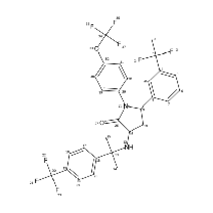 CC(F)(F)c1cccc(C2CC(NC(C)(C)c3ccc(C(F)(F)F)nc3)C(=O)N2c2ccc(OC(F)(F)F)cc2)c1